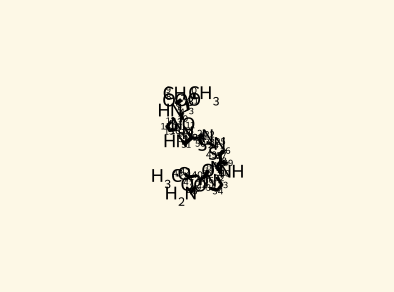 COCC[C@H](NC(=O)OC)C(=O)N1CCC[C@H]1c1nc(-c2cnc(-c3ncc(-c4c[nH]c([C@@H]5CCCN5C(=O)[C@H](CCOC)OC(N)=O)n4)s3)s2)c[nH]1